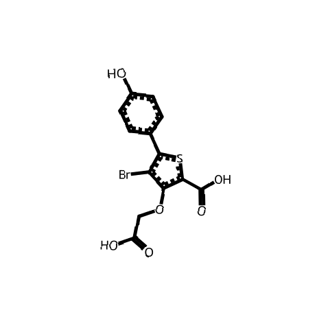 O=C(O)COc1c(C(=O)O)sc(-c2ccc(O)cc2)c1Br